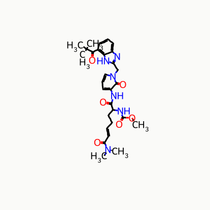 COC(=O)NC(CCC=CC(=O)N(C)C)C(=O)Nc1cccn(Cc2nc3cccc(C(=O)C(C)(C)C)c3[nH]2)c1=O